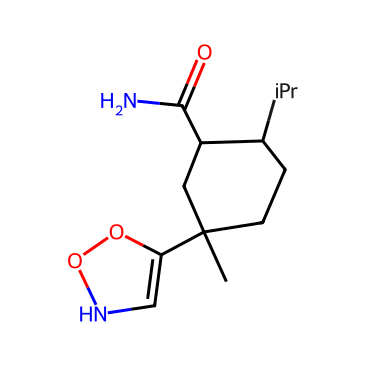 CC(C)C1CCC(C)(C2=CNOO2)CC1C(N)=O